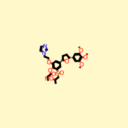 CCCOc1c(OCCn2ccnc2)cc([C@H]2CC[C@H](c3cc(OC)c(OC)c(OC)c3)O2)cc1S(=O)(=O)CC(C)O